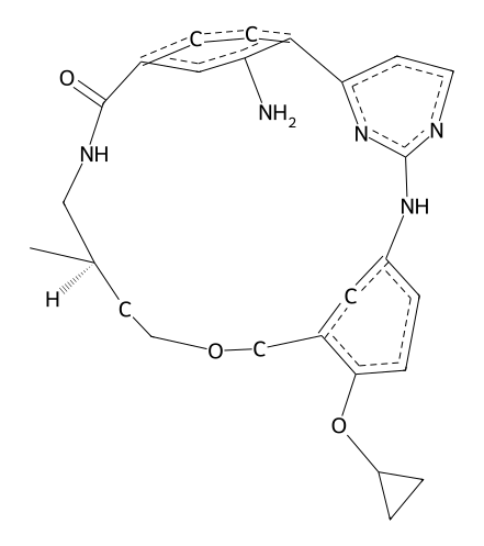 C[C@@H]1CCOCc2cc(ccc2OC2CC2)Nc2nccc(n2)-c2ccc(cc2N)C(=O)NC1